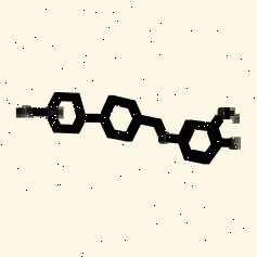 CCC[SiH]1CCC(C2CCC(COc3ccc(Cl)c(C)c3)CC2)CC1